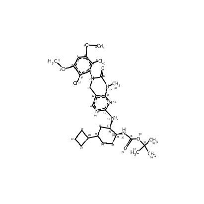 COc1cc(OC)c(Cl)c(N2Cc3cnc(N[C@@H]4CC(C5CCC5)CC[C@@H]4NC(=O)OC(C)(C)C)nc3N(C)C2=O)c1Cl